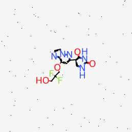 O=c1[nH]cc(-c2cc(OCC(F)(F)CO)c3nccn3n2)c(=O)[nH]1